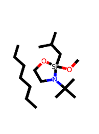 CCCCCCC.CO[Si]1(CC(C)C)OCCN1C(C)(C)C